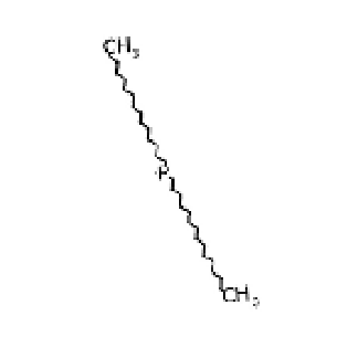 CCCCCCCCCCCCCCC[P]CCCCCCCCCCCCCCC